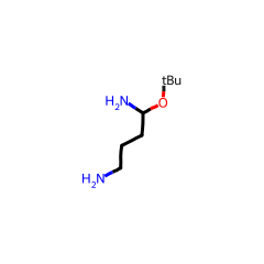 CC(C)(C)OC(N)CCCN